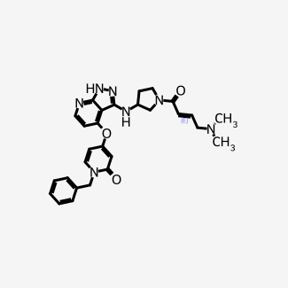 CN(C)C/C=C/C(=O)N1CCC(Nc2n[nH]c3nccc(Oc4ccn(Cc5ccccc5)c(=O)c4)c23)C1